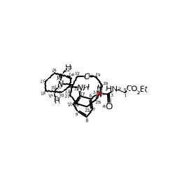 CCOC(=O)CNC(=O)Nc1ccccc1N[C@@H]1C[C@H]2CCC[C@@H](C1)N2C1CCCCCCCCC1